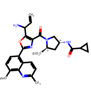 C=CC(N)c1oc(-c2ccc(OC)c3nc(C(F)(F)F)ccc23)nc1C(=O)N1C[C@H](NC(=O)C2CC2)C[C@H]1C(=O)OCC